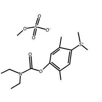 CCN(CC)C(=O)Oc1cc(C)c([S+](C)C)cc1C.COS(=O)(=O)[O-]